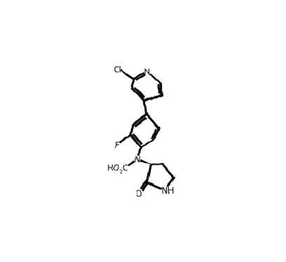 O=C1NCC[C@@H]1N(C(=O)O)c1ccc(-c2ccnc(Cl)c2)cc1F